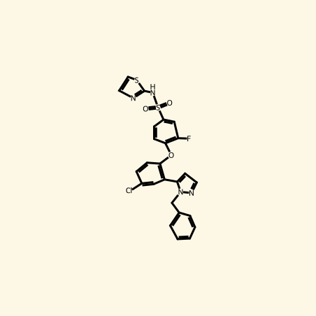 O=S(=O)(Nc1nccs1)c1ccc(Oc2ccc(Cl)cc2-c2ccnn2Cc2ccccc2)c(F)c1